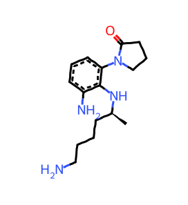 C[C@@H](CCCCN)Nc1c(N)cccc1N1CCCC1=O